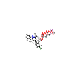 CCc1c(-c2ccccc2)nc(C(C)C)c(CCOC(=O)CC(O)C[PH](=O)O)c1-c1ccc(F)cc1